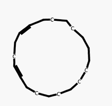 C1=CCCCCCCCCCCCCCCC=CCC1